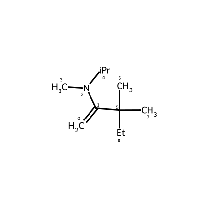 C=C(N(C)C(C)C)C(C)(C)CC